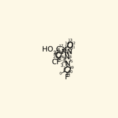 Cc1cc(N2CCN(C3=Nc4ccccc4C(CC(=O)O)N3c3cccc(C(F)(F)F)c3)CC2)ccc1F